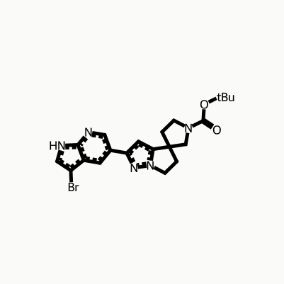 CC(C)(C)OC(=O)N1CCC2(CCn3nc(-c4cnc5[nH]cc(Br)c5c4)cc32)C1